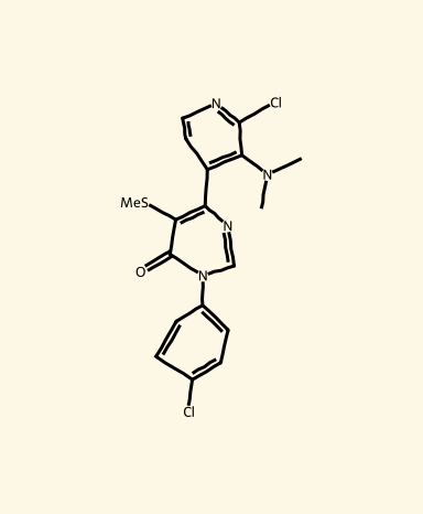 CSc1c(-c2ccnc(Cl)c2N(C)C)ncn(-c2ccc(Cl)cc2)c1=O